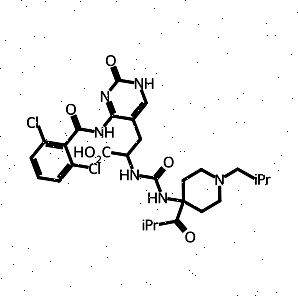 CC(C)CN1CCC(NC(=O)NC(Cc2c[nH]c(=O)nc2NC(=O)c2c(Cl)cccc2Cl)C(=O)O)(C(=O)C(C)C)CC1